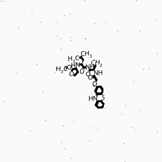 C=C[C@H](NC(=O)COc1ccc2c(c1)Nc1ccccc1S2)C(=O)NC(=O)[C@H](CC(C)C)N[C@H]1CCOC1OC